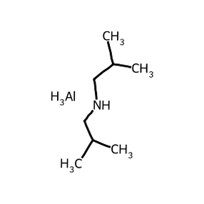 CC(C)CNCC(C)C.[AlH3]